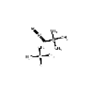 C[Si](C)(C)C=[N+]=[N-].C[Si](C)(C)Cl